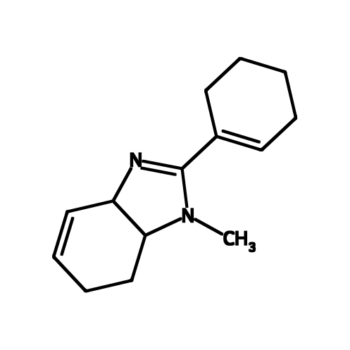 CN1C(C2=CCCCC2)=NC2C=CCCC21